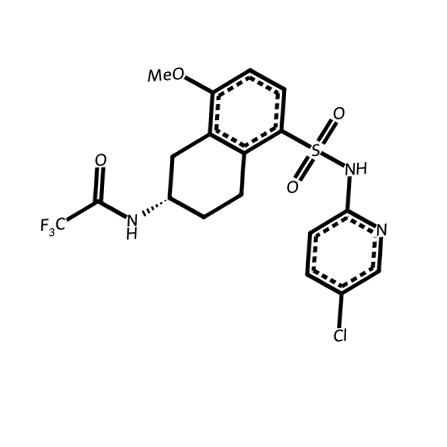 COc1ccc(S(=O)(=O)Nc2ccc(Cl)cn2)c2c1C[C@@H](NC(=O)C(F)(F)F)CC2